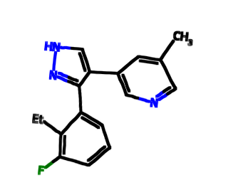 CCc1c(F)cccc1-c1n[nH]cc1-c1cncc(C)c1